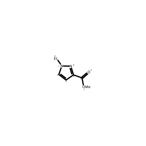 CCn1c[c]c(C(=O)OC)n1